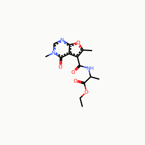 CCOC(=O)C(C)NC(=O)c1c(C)oc2ncn(C)c(=O)c12